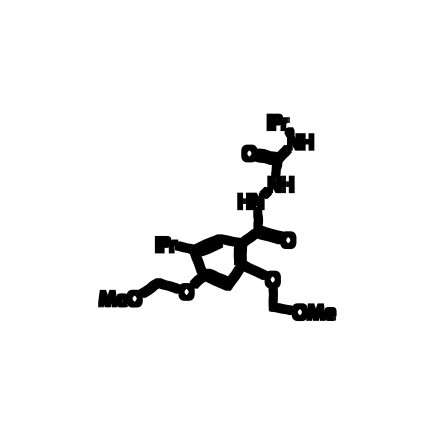 COCOc1cc(OCOC)c(C(C)C)cc1C(=O)NNC(=O)NC(C)C